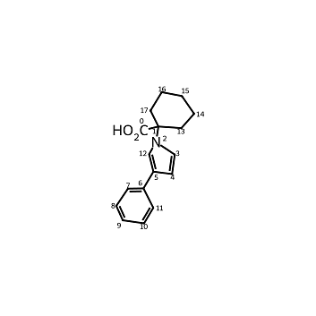 O=C(O)C1(n2ccc(-c3ccccc3)c2)CCCCC1